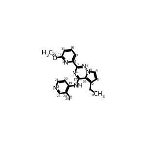 CCc1ccn2nc(-c3cccc(OC)n3)nc(Nc3ccncc3F)c12